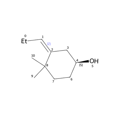 CC/C=C1/C[C@@H](O)CCC1(C)C